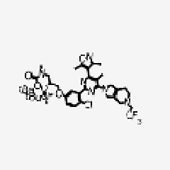 Cc1noc(C)c1-c1nc(-c2cc(OCC(CN(C)C(=O)OC(C)(C)C)O[Si](C)(C)C(C)(C)C)ccc2Cl)nc(N2CC3=C(CN(CC(F)(F)F)CC3)C2)c1C